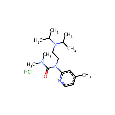 Cc1ccnc(N(CCN(C(C)C)C(C)C)C(=O)N(C)C)c1.Cl